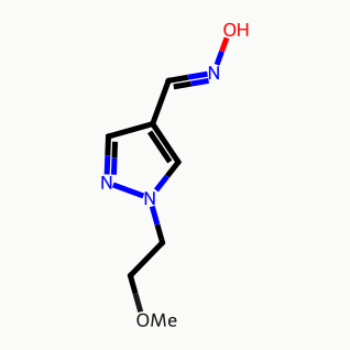 COCCn1cc(/C=N/O)cn1